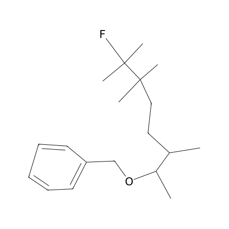 CC(CCC(C)(C)C(C)(C)F)C(C)OCc1ccccc1